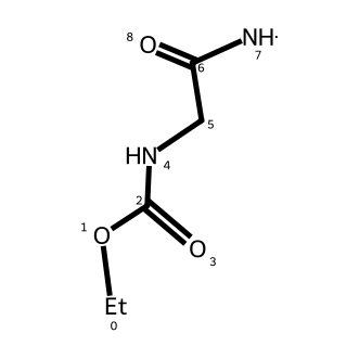 CCOC(=O)NCC([NH])=O